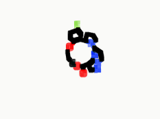 O=C1OCCCOc2ccc(F)cc2C2CCCN2c2ccn3ncc1c3n2